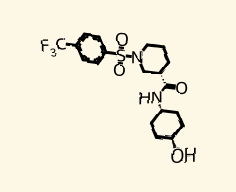 O=C(N[C@H]1CC[C@H](O)CC1)[C@H]1CCCN(S(=O)(=O)c2ccc(C(F)(F)F)cc2)C1